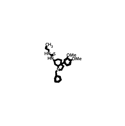 C=CCNC(=S)NC1CCC2(c3ccc(OC)c(OC)c3)CCN(Cc3ccccc3)C2C1